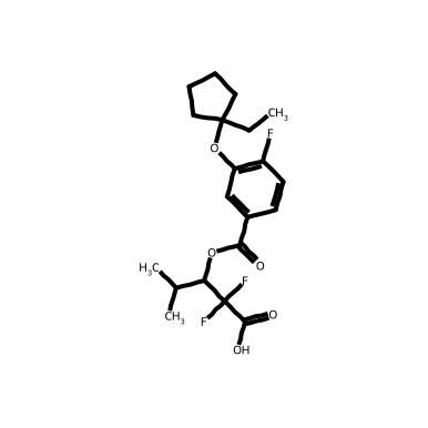 CCC1(Oc2cc(C(=O)OC(C(C)C)C(F)(F)C(=O)O)ccc2F)CCCC1